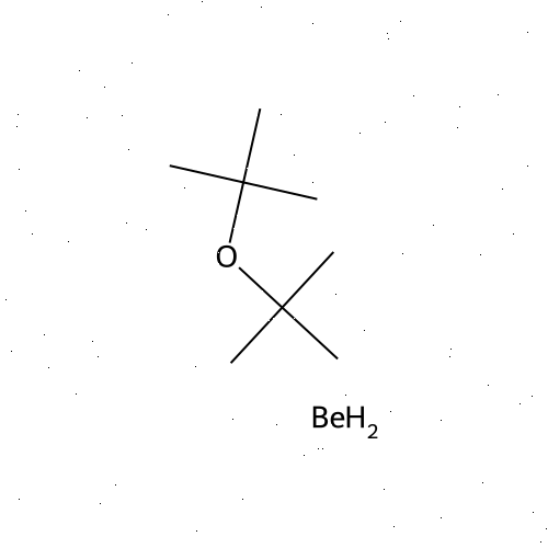 CC(C)(C)OC(C)(C)C.[BeH2]